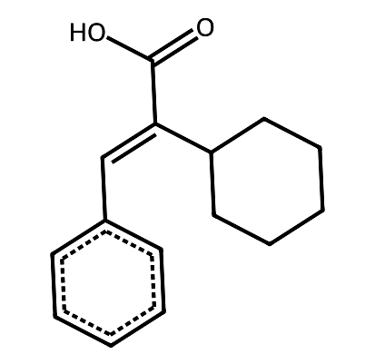 O=C(O)/C(=C/c1ccccc1)C1CCCCC1